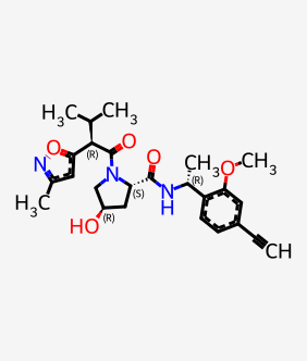 C#Cc1ccc([C@@H](C)NC(=O)[C@@H]2C[C@@H](O)CN2C(=O)[C@@H](c2cc(C)no2)C(C)C)c(OC)c1